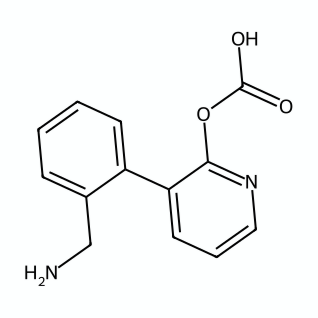 NCc1ccccc1-c1cccnc1OC(=O)O